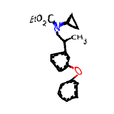 CCOC(=O)N(CC(C)c1cccc(Oc2ccccc2)c1)C1CC1